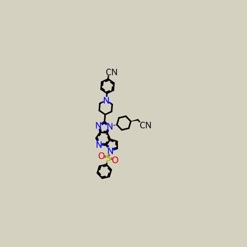 N#CC[C@H]1CC[C@H](n2c(C3CCN(c4ccc(C#N)cc4)CC3)nc3cnc4c(ccn4S(=O)(=O)c4ccccc4)c32)CC1